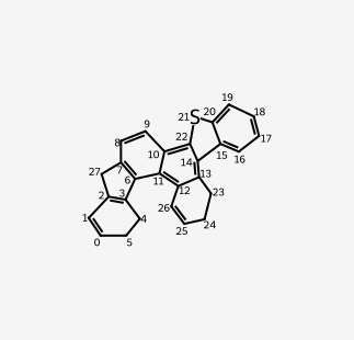 C1=CC2=C(CC1)c1c(ccc3c1c1c(c4c5ccccc5sc34)CCC=C1)C2